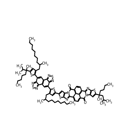 CCCCCCCCC(C)Cc1cc(-c2cc3c(nc4c5ccc6c(=O)n7c8cc(C(C)(CCCC)CC(C)C)sc8nc7c7ccc(c(=O)n34)c5c67)s2)sc1-c1cc2c(cc(-c3sc(C(C)(CCCCC)C(C)C)cc3CC(C)CCCCCCCC)c3nsnc32)c2nsnc12